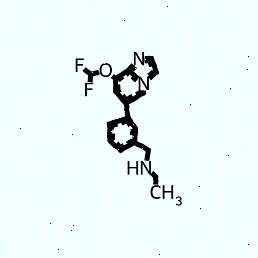 CCNCc1cccc(-c2cc(OC(F)F)c3nccn3c2)c1